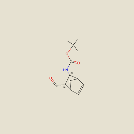 CC(C)(C)OC(=O)N[C@@H]1C2C=CC(C2)[C@@H]1C=O